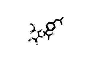 COC(=O)[C@@H]1OC(c2ccc(CC(C)C)cc2)(C(C)Br)O[C@H]1C(=O)OC